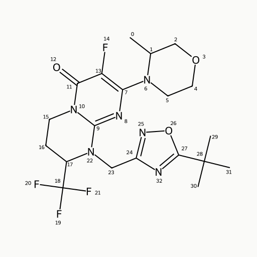 CC1COCCN1c1nc2n(c(=O)c1F)CCC(C(F)(F)F)N2Cc1noc(C(C)(C)C)n1